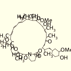 [2H]C([2H])([2H])O[C@H]1C[C@@H]2CC[C@@H](C)[C@@](O)(O2)C(=O)C(=O)N2CCCC[C@H]2C(=O)O[C@H]([C@H](C)C[C@@H]2CC[C@@H](O)[C@H](OC)C2)CC(=O)[C@H](C)/C=C(\C)[C@@H](O)[C@@H](OC)C(=O)[C@H](C)C([2H])(C)[C@]([2H])(C)/C=C/C=C/C=C/1C